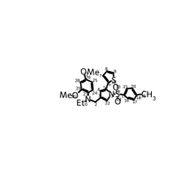 CCN(Cc1cc(-c2cccs2)n(S(=O)(=O)c2ccc(C)cc2)c1)c1ccc(OC)cc1OC